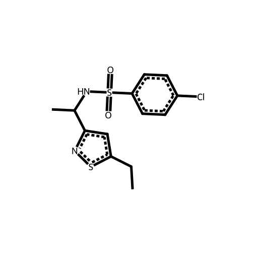 CCc1cc(C(C)NS(=O)(=O)c2ccc(Cl)cc2)ns1